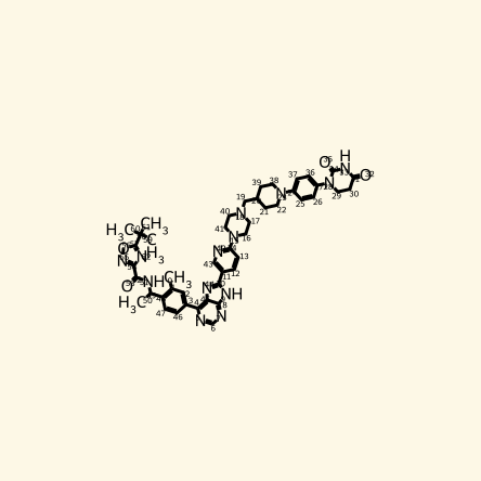 Cc1cc(-c2ncnc3[nH]c(-c4ccc(N5CCN(CC6CCN(c7ccc(N8CCC(=O)NC8=O)cc7)CC6)CC5)nc4)nc23)ccc1C(C)NC(=O)c1noc(C(C)(C)C)n1